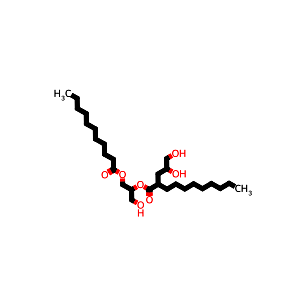 CCCCCCCCCCC(=O)OCC(CO)OC(=O)C(CCCCCCCCC)CC(O)CO